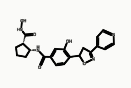 O=C(N[C@@H]1CCC[C@@H]1C(=O)NO)c1ccc(C2CC(c3ccncc3)=NO2)c(O)c1